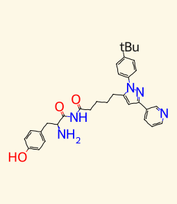 CC(C)(C)c1ccc(-n2nc(-c3cccnc3)cc2CCCCC(=O)NC(=O)[C@@H](N)Cc2ccc(O)cc2)cc1